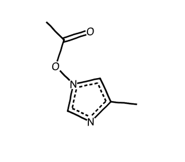 CC(=O)On1cnc(C)c1